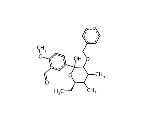 CC[C@H]1OC(O)(c2ccc(OC)c(C=O)c2)C(OCc2ccccc2)C(C)C1C